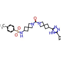 O=C(N1CC2(CC(NS(=O)(=O)c3ccc(C(F)(F)F)cc3)C2)C1)N1CC2(CC(c3nnc(C4CC4)[nH]3)C2)C1